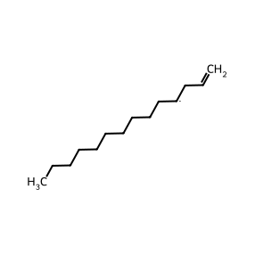 C=CC[CH]CCCCCCCCCC